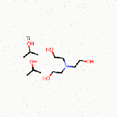 CC(C)O.CC(C)O.OCCN(CCO)CCO.[Ti]